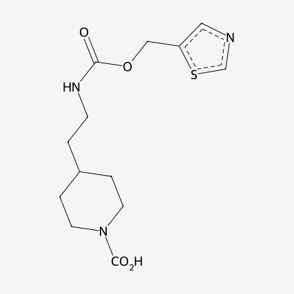 O=C(NCCC1CCN(C(=O)O)CC1)OCc1cncs1